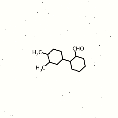 CC1CCC(C2CCCCC2C=O)CC1C